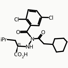 CC(C)C[C@@H](NN(C(=O)CC1CCCCC1)C(=O)c1cc(Cl)ccc1Cl)C(=O)O